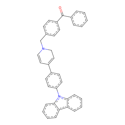 O=C(c1ccccc1)c1ccc(CN2C=CC(c3ccc(-n4c5ccccc5c5ccccc54)cc3)=CC2)cc1